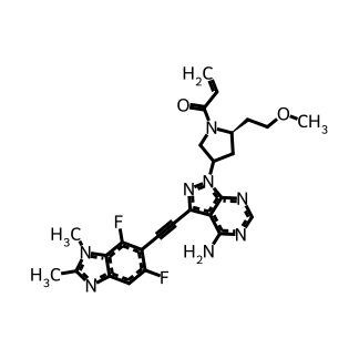 C=CC(=O)N1CC(n2nc(C#Cc3c(F)cc4nc(C)n(C)c4c3F)c3c(N)ncnc32)C[C@@H]1CCOC